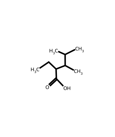 CCC(C(=O)O)C(C)C(C)C